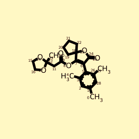 Cc1cc(C)c(C2=C(OC(=O)CC3(C)OCCO3)C3(CCCC3)OC2=O)c(C)c1